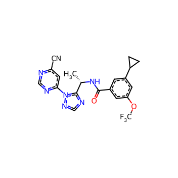 C[C@H](NC(=O)c1cc(OC(F)(F)F)cc(C2CC2)c1)c1ncnn1-c1cc(C#N)ncn1